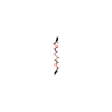 C#CCOCCSSCCOCC#C